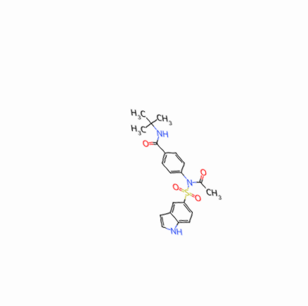 CC(=O)N(c1ccc(C(=O)NC(C)(C)C)cc1)S(=O)(=O)c1ccc2[nH]ccc2c1